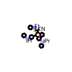 CCN(c1ccccc1)c1sc(C(=C2C=CC(=[N+](c3ccccc3)C(C)C)C=C2)c2ccc(N(c3ccccc3)C(C)C)cc2)c(-c2ccccc2)c1C#N